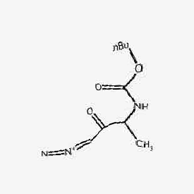 CCCCOC(=O)NC(C)C(=O)C=[N+]=[N-]